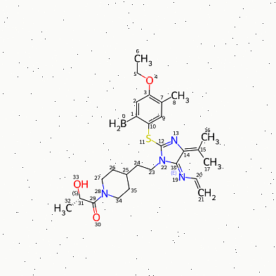 Bc1cc(OCC)c(C)cc1SC1=NC(=C(C)C)/C(=N\C=C)N1CCC1CCN(C(=O)[C@H](C)O)CC1